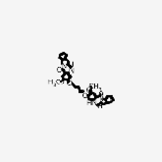 COc1cc2c(cc1OCCCCCOc1cc3c(cc1OC)C(=O)N1c4ccccc4C[C@H]1CN3)N=C[C@@H]1Cc3ccccc3CN1C2=O